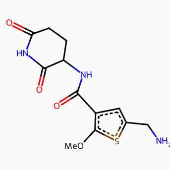 COc1sc(CN)cc1C(=O)NC1CCC(=O)NC1=O